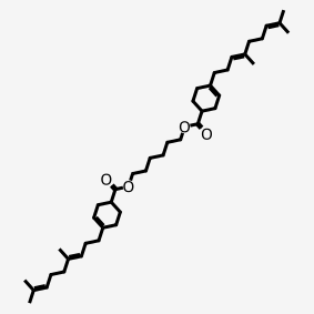 CC(C)=CCC/C(C)=C/CCC1=CCC(C(=O)OCCCCCCOC(=O)C2CC=C(CC/C=C(\C)CCC=C(C)C)CC2)CC1